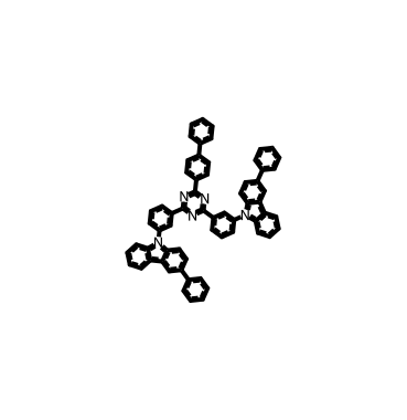 c1ccc(-c2ccc(-c3nc(-c4cccc(-n5c6ccccc6c6cc(-c7ccccc7)ccc65)c4)nc(-c4cccc(-n5c6ccccc6c6cc(-c7ccccc7)ccc65)c4)n3)cc2)cc1